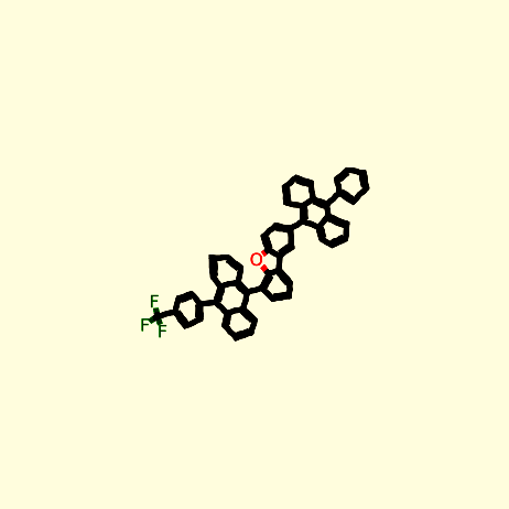 FC(F)(F)c1ccc(-c2c3ccccc3c(-c3cccc4c3oc3ccc(-c5c6ccccc6c(-c6ccccc6)c6ccccc56)cc34)c3ccccc23)cc1